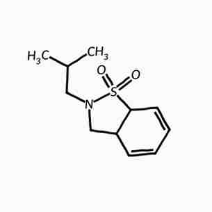 CC(C)CN1CC2C=CC=CC2S1(=O)=O